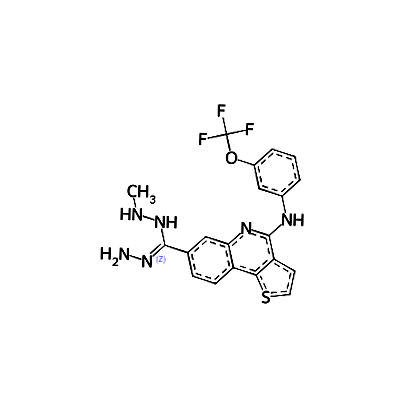 CNN/C(=N\N)c1ccc2c(c1)nc(Nc1cccc(OC(F)(F)F)c1)c1ccsc12